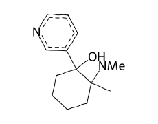 CNC1(C)CCCCC1(O)c1cccnc1